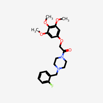 COc1cc(OCC(=O)N2CCN(Cc3ccccc3F)CC2)cc(OC)c1OC